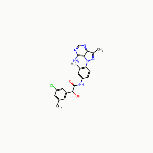 Cc1cc(Cl)cc(C(O)C(=O)Nc2ccc(-n3nc(C)c4ncnc(N)c43)c(C)c2)c1